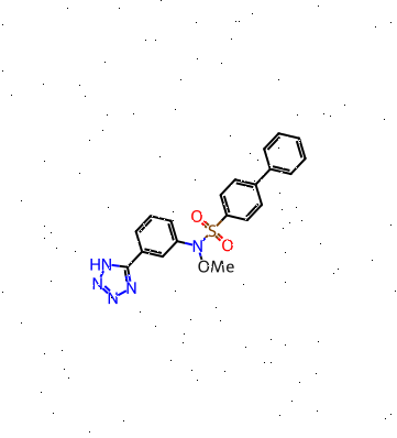 CON(c1cccc(-c2nnn[nH]2)c1)S(=O)(=O)c1ccc(-c2ccccc2)cc1